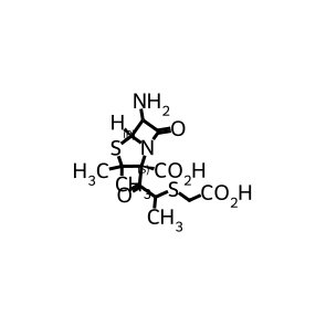 CC(SCC(=O)O)C(=O)[C@@]1(C(=O)O)N2C(=O)C(N)[C@H]2SC1(C)C